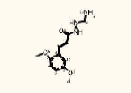 COc1ccc(OC)c(C=CC(=O)NNCN)c1